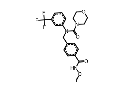 O=C(NOI)c1ccc(CN(C(=O)N2CCOCC2)c2cccc(C(F)(F)F)c2)cc1